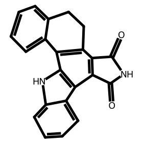 O=C1NC(=O)c2c1c1c(c3[nH]c4ccccc4c23)-c2ccccc2CC1